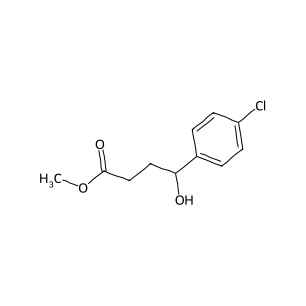 COC(=O)CCC(O)c1ccc(Cl)cc1